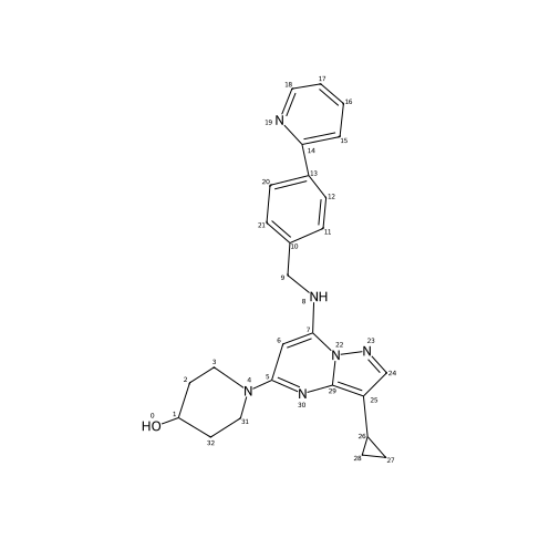 OC1CCN(c2cc(NCc3ccc(-c4ccccn4)cc3)n3ncc(C4CC4)c3n2)CC1